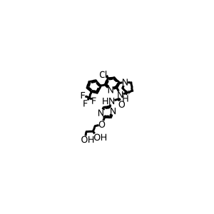 O=C(Nc1cnc(OCC(O)CO)cn1)N1c2nc(-c3cccc(C(F)(F)F)c3)c(Cl)cc2N2CC[C@H]1C2